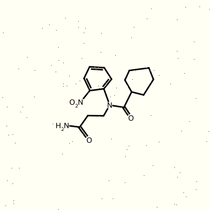 NC(=O)CCN(C(=O)C1CCCCC1)c1ccccc1[N+](=O)[O-]